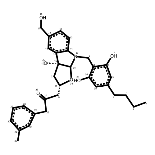 CCCCc1cc(O)c(CN2c3ccc(CO)cc3[C@]3(O)C[C@@H](CC(=O)Cc4cccc(C)c4)OC23)c(O)c1